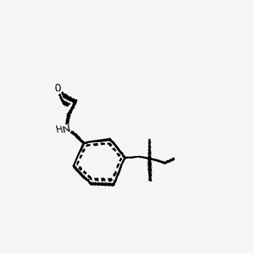 CC(C)(C)c1cccc(NC=O)c1